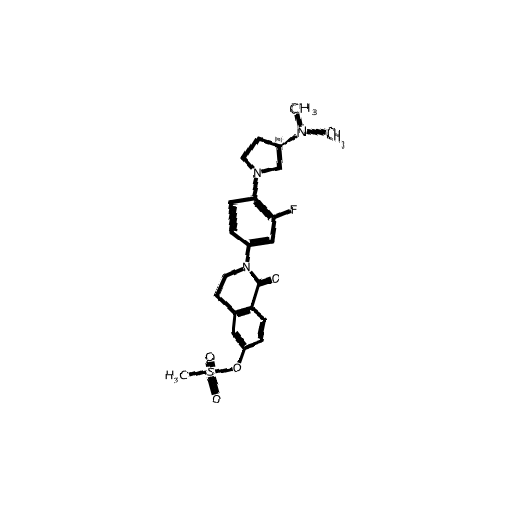 CN(C)[C@@H]1CCN(c2ccc(N3CCc4cc(OS(C)(=O)=O)ccc4C3=O)cc2F)C1